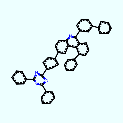 c1ccc(-c2cccc(-c3nc4ccc(-c5ccc(-c6nc(-c7ccccc7)nc(-c7ccccc7)n6)cc5)cc4c4c(-c5ccccc5)cccc34)c2)cc1